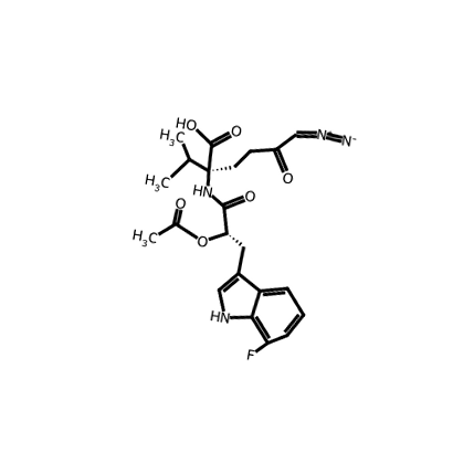 CC(=O)O[C@@H](Cc1c[nH]c2c(F)cccc12)C(=O)N[C@](CCC(=O)C=[N+]=[N-])(C(=O)O)C(C)C